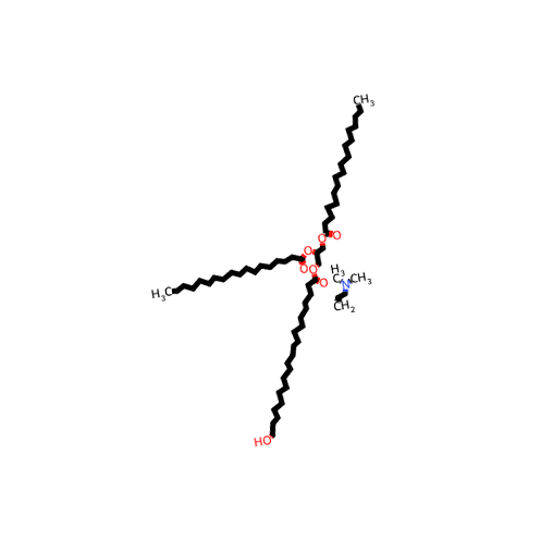 C=CCN(C)C.CCCCCCCCCCCCCCCCCC(=O)OCC(COC(=O)CCCCCCCCCCCCCCCCCCCCO)OC(=O)CCCCCCCCCCCCCCCCC